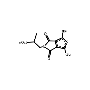 CCCCCCCCC(C)CN1C(=O)c2c(C(C)(C)C)sc(C(C)(C)C)c2C1=O